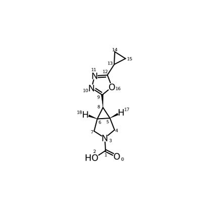 O=C(O)N1C[C@@H]2[C@H](C1)[C@H]2c1nnc(C2CC2)o1